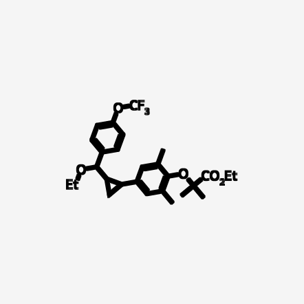 CCOC(=O)C(C)(C)Oc1c(C)cc(C2CC2C(OCC)c2ccc(OC(F)(F)F)cc2)cc1C